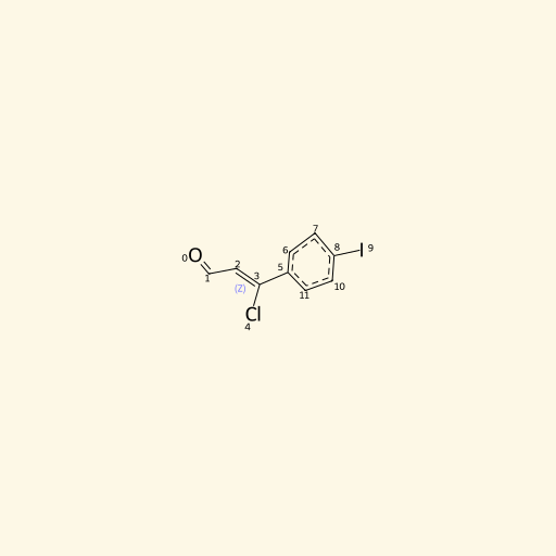 O=C/C=C(\Cl)c1ccc(I)cc1